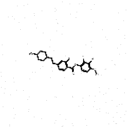 CCCC1CCC(CCc2ccc(C(=O)Oc3ccc(OCC)c(F)c3F)c(F)c2)CC1